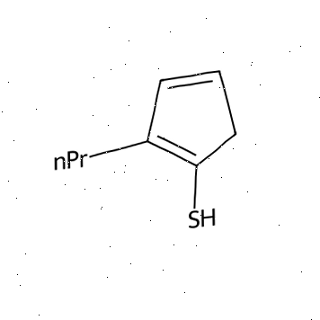 CCCC1=C(S)CC=C1